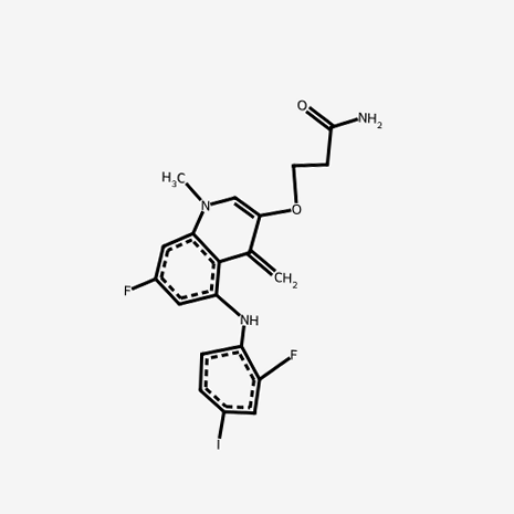 C=C1C(OCCC(N)=O)=CN(C)c2cc(F)cc(Nc3ccc(I)cc3F)c21